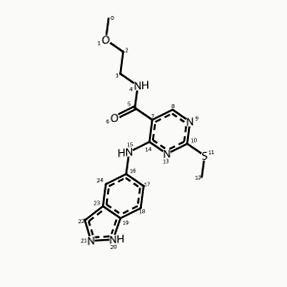 COCCNC(=O)c1cnc(SC)nc1Nc1ccc2[nH]ncc2c1